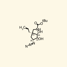 C=CC[C@@]1(CNC(=O)OC(C)(C)C)C[C@@H](N=[N+]=[N-])[C@H](O)[C@@H]1O